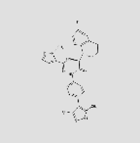 Cc1n[nH]c(C)c1-c1ccc(NC(=O)[C@@H](NC(=O)c2ccnn2C)[C@H]2CCCc3cc(F)ccc32)cc1